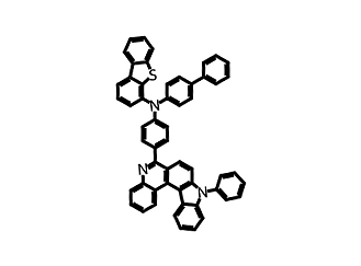 c1ccc(-c2ccc(N(c3ccc(-c4nc5ccccc5c5c4ccc4c5c5ccccc5n4-c4ccccc4)cc3)c3cccc4c3sc3ccccc34)cc2)cc1